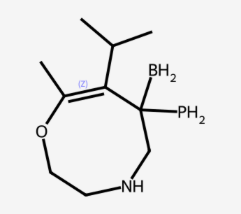 BC1(P)CNCCO/C(C)=C\1C(C)C